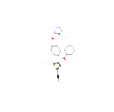 CC(C)(C)C#Cc1cc(N(C(=O)C2CCCCC2)C2CCC(NC(=O)OC3(C)CCNC3)CC2)c(C(=O)O)s1